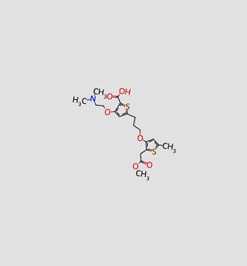 COC(=O)Cc1sc(C)cc1OCCCc1cc(OCCN(C)C)c(C(=O)O)s1